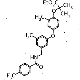 CCOC(=O)C(C)(C)Oc1ccc(Oc2cc(C)cc(CNC(=O)c3ccc(C(F)(F)F)cc3)c2)cc1C